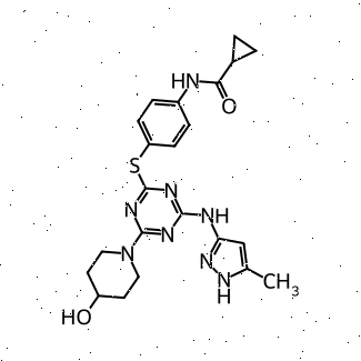 Cc1cc(Nc2nc(Sc3ccc(NC(=O)C4CC4)cc3)nc(N3CCC(O)CC3)n2)n[nH]1